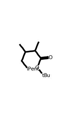 CCCC(C)CC(C)C(C)C(=O)OC(C)(C)C